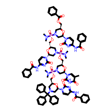 Cc1cn([C@H]2CN([P@@](=O)(OC[C@@H]3CN(C(c4ccccc4)(c4ccccc4)c4ccccc4)C[C@H](n4ccc(NC(=O)c5ccccc5)nc4=O)O3)N(C)C)C[C@@H](CO[P@@](=O)(N(C)C)N3C[C@@H](CO[P@@](=O)(N(C)C)N4C[C@@H](COC(=O)c5ccccc5)O[C@@H](n5ccc(NC(=O)c6ccccc6)nc5=O)C4)O[C@@H](n4ccc(NC(=O)c5ccccc5)nc4=O)C3)O2)c(=O)[nH]c1=O